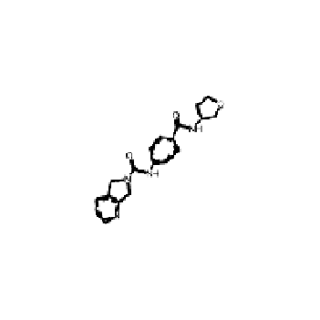 O=C(N[C@H]1CCOC1)c1ccc(NC(=O)N2Cc3cccnc3C2)cc1